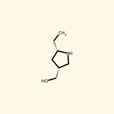 CC[C@H]1C[C@@H](CO)CN1